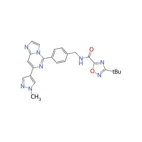 Cn1cc(-c2cc3nccn3c(-c3ccc(CNC(=O)c4nc(C(C)(C)C)no4)cc3)n2)cn1